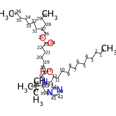 CCCCCCCCCCCCC(O)CN(CCCCCCCC(=O)OCC(CCC)CCCCCCC)C(Cn1ccnc1)C(C)(C)C